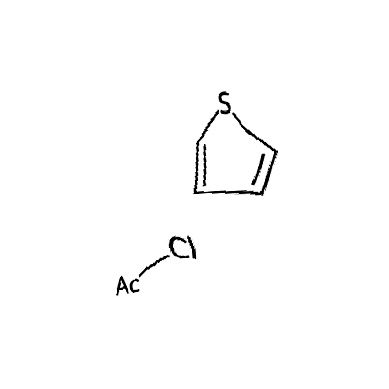 CC(=O)Cl.c1ccsc1